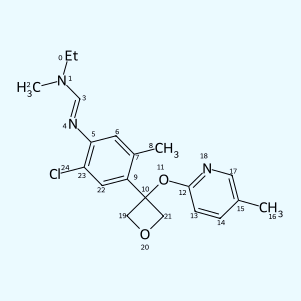 CCN(C)C=Nc1cc(C)c(C2(Oc3ccc(C)cn3)COC2)cc1Cl